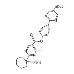 CCCCCCCCc1cnc(-c2ccc(OC(=O)c3cnc(C4(CCCCC)CCCCC4)nc3F)cc2)nc1